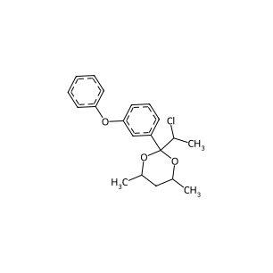 CC1CC(C)OC(c2cccc(Oc3ccccc3)c2)(C(C)Cl)O1